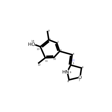 Cc1cc(/C=C2/COCN2)cc(C)c1O